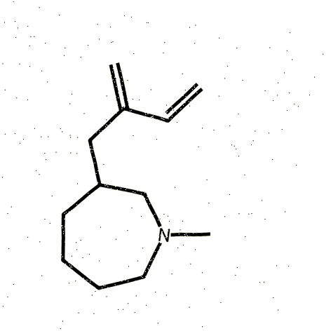 C=CC(=C)CC1CCCCN(C)C1